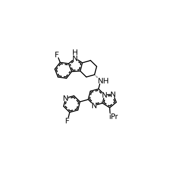 CC(C)c1cnn2c(N[C@H]3CCc4[nH]c5c(F)cccc5c4C3)cc(-c3cncc(F)c3)nc12